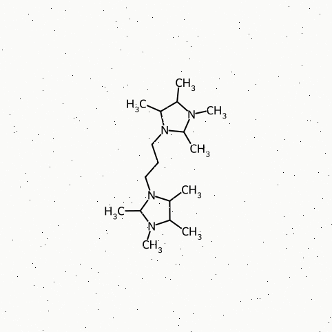 CC1C(C)N(CCCN2C(C)C(C)N(C)C2C)C(C)N1C